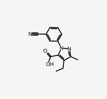 CCc1c(C)nn(-c2cccc(C#N)c2)c1C(=O)O